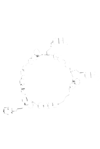 CCCCC1CCCCCCC(CCCC)CC(=O)OCCCCCCCCCCC(OC(=O)CCCN2CCCC2)CCCCCCCCCCOC(=O)C1